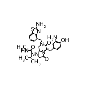 CNC(=O)N(C(C)C)N1CC(=O)N2C1CN(Cc1cccc3sc(N)nc13)C(=O)[C@@H]2Cc1ccc(O)c(N)c1